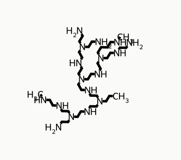 CCCN(CCNCCN(CCN)CCNCCNC)CCNCCN(CCNCCN(CCN)CCN)CCNCCN(CCCCNC)CCNCCN